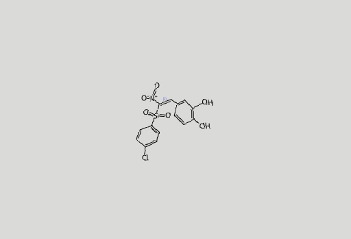 O=[N+]([O-])/C(=C/c1ccc(O)c(O)c1)S(=O)(=O)c1ccc(Cl)cc1